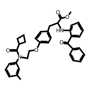 COC(=O)C(Cc1ccc(OCCN(C(=O)C2CCC2)c2cccc(C)c2)cc1)Nc1ccccc1C(=O)c1ccccc1